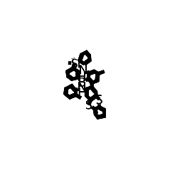 Cc1cc(-c2cc3c(cc2Nc2ccccc2C)Sc2ccccc2S3)c2c(c1)N1c3ccccc3[Si](C)(C)c3cccc(c31)B2